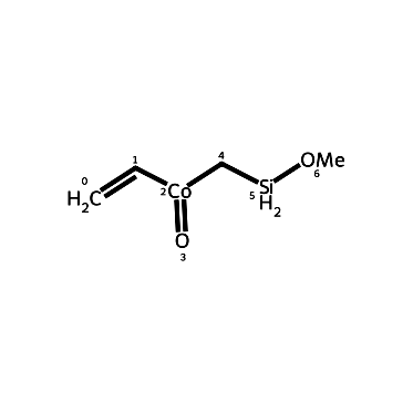 C=[CH][Co](=[O])[CH2][SiH2]OC